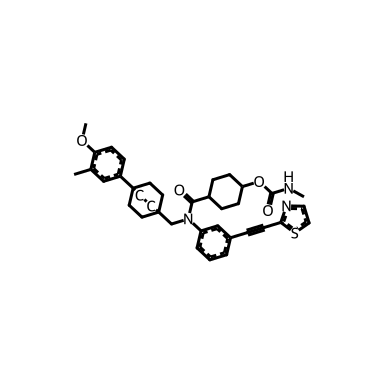 CNC(=O)OC1CCC(C(=O)N(CC23CCC(c4ccc(OC)c(C)c4)(CC2)CC3)c2cccc(C#Cc3nccs3)c2)CC1